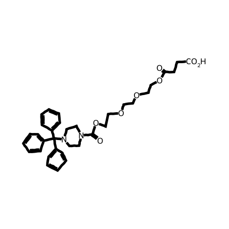 O=C(O)CCC(=O)OCCOCCOCCOC(=O)N1CCN(C(c2ccccc2)(c2ccccc2)c2ccccc2)CC1